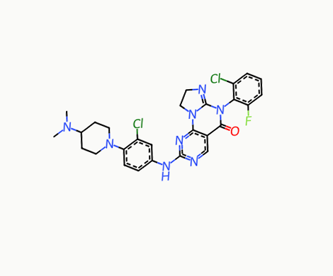 CN(C)C1CCN(c2ccc(Nc3ncc4c(n3)N3CCN=C3N(c3c(F)cccc3Cl)C4=O)cc2Cl)CC1